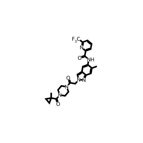 Cc1cc2nn(CC(=O)N3CCN(C(=O)C4(C)CC4)CC3)cc2cc1NC(=O)c1cccc(C(F)(F)F)n1